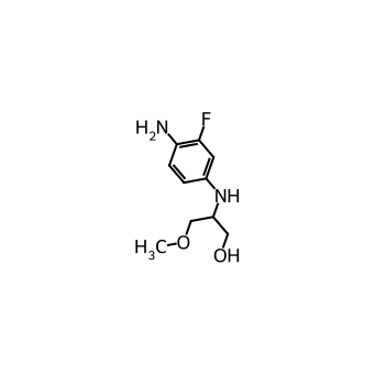 COCC(CO)Nc1ccc(N)c(F)c1